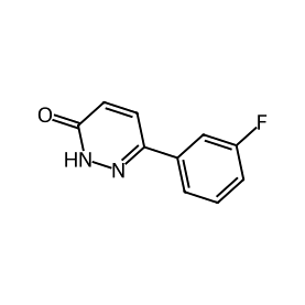 O=c1ccc(-c2cccc(F)c2)n[nH]1